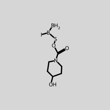 BB(I)SOC(=O)N1CCC(O)CC1